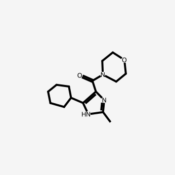 Cc1nc(C(=O)N2CCOCC2)c(C2CCCCC2)[nH]1